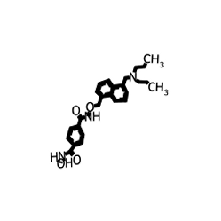 CCCN(CCC)Cc1cccc2c(CONC(=O)c3ccc(C(=O)NO)cc3)cccc12